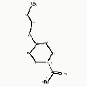 CC(C)(C)CCCC1CCN(C(=O)C(C)(C)C)CC1